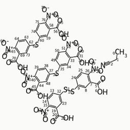 CCC#N.O=C(O)c1cc(SSc2ccc([N+](=O)[O-])c(C(=O)O)c2)ccc1[N+](=O)[O-].O=C(O)c1cc(Sc2ccc([N+](=O)[O-])c(C(=O)O)c2)ccc1[N+](=O)[O-].O=C(O)c1cc(Sc2ccc([N+](=O)[O-])c(C(=O)O)c2)ccc1[N+](=O)[O-]